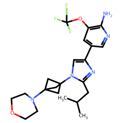 CC(C)Cc1nc(-c2cnc(N)c(OC(F)(F)F)c2)cn1C12CC(N3CCOCC3)(C1)C2